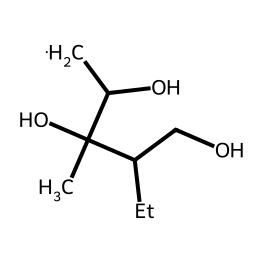 [CH2]C(O)C(C)(O)C(CC)CO